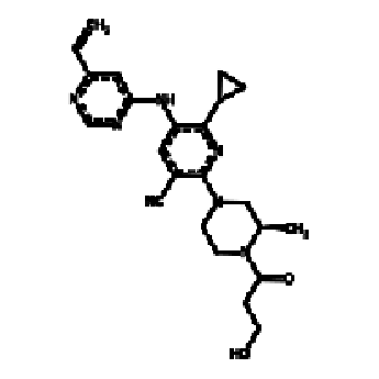 C=Cc1cc(Nc2cc(C#N)c(N3CCN(C(=O)CCO)[C@H](C)C3)nc2C2CC2)ncn1